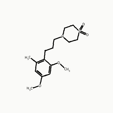 COc1cc(C)c(CCCN2CCS(=O)(=O)CC2)c(OC)c1